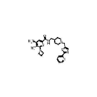 N#Cc1c(N)cc(C(=O)NCC2CCN(Cc3cnc(-c4ccccn4)s3)CC2)nc1N1CCC1